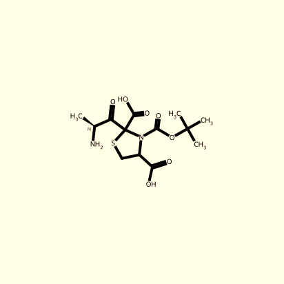 C[C@H](N)C(=O)C1(C(=O)O)SCC(C(=O)O)N1C(=O)OC(C)(C)C